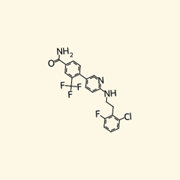 NC(=O)c1ccc(-c2ccc(NCCc3c(F)cccc3Cl)nc2)c(C(F)(F)F)c1